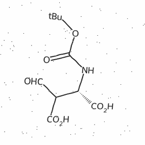 CC(C)(C)OC(=O)N[C@H](C(=O)O)C(C=O)C(=O)O